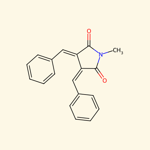 CN1C(=O)C(=Cc2ccccc2)C(=Cc2ccccc2)C1=O